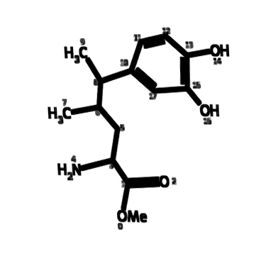 COC(=O)C(N)CC(C)C(C)c1ccc(O)c(O)c1